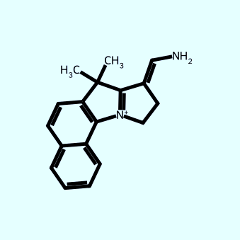 CC1(C)C2=[N+](CC/C2=C\N)c2c1ccc1ccccc21